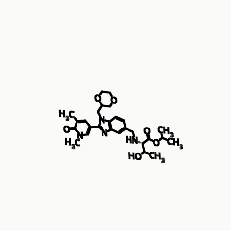 Cc1cc(-c2nc3cc(CN[C@H](C(=O)OC(C)C)[C@@H](C)O)ccc3n2CC2COCCO2)cn(C)c1=O